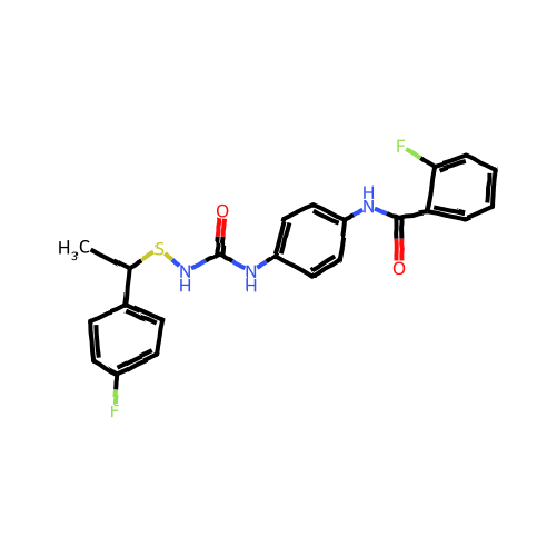 CC(SNC(=O)Nc1ccc(NC(=O)c2ccccc2F)cc1)c1ccc(F)cc1